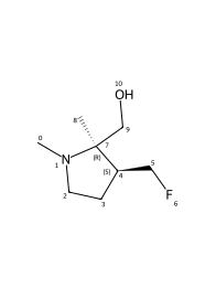 CN1CC[C@H](CF)[C@]1(C)CO